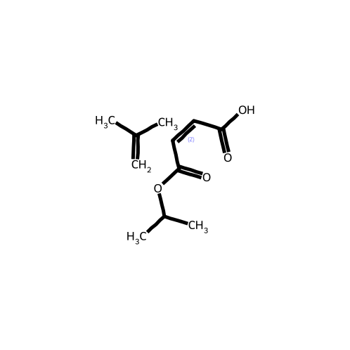 C=C(C)C.CC(C)OC(=O)/C=C\C(=O)O